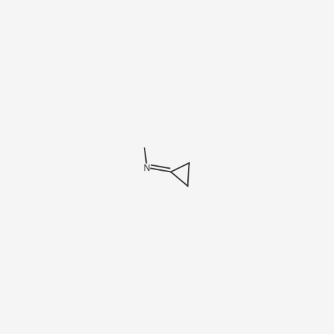 CN=C1CC1